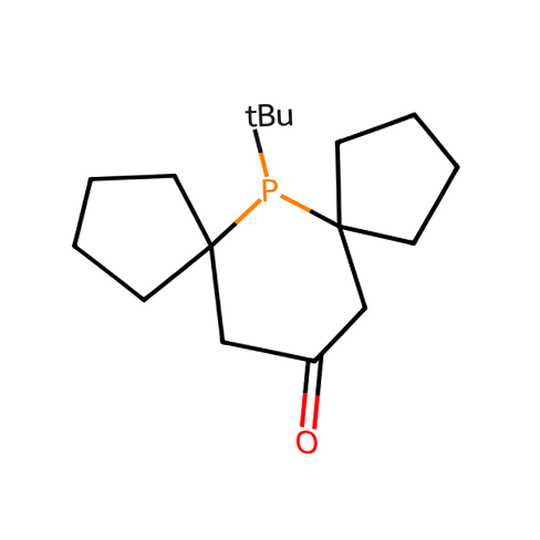 CC(C)(C)P1C2(CCCC2)CC(=O)CC12CCCC2